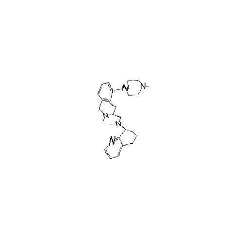 CN1CCN(c2cccc3c2C[C@@H](CN(C)[C@H]2CCCc4cccnc42)N(C)C3)CC1